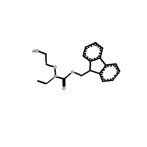 CCN(OCCO)C(=O)OCC1c2ccccc2-c2ccccc21